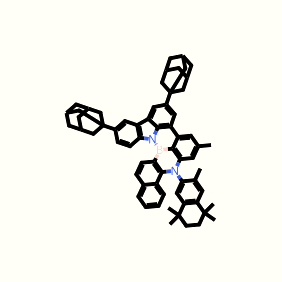 Cc1cc2c3c(c1)N(c1cc4c(cc1C)C(C)(C)CCC4(C)C)c1c(ccc4ccccc14)B3n1c3ccc(C45CC6CC(CC(C6)C4)C5)cc3c3cc(C45CC6CC(CC(C6)C4)C5)cc-2c31